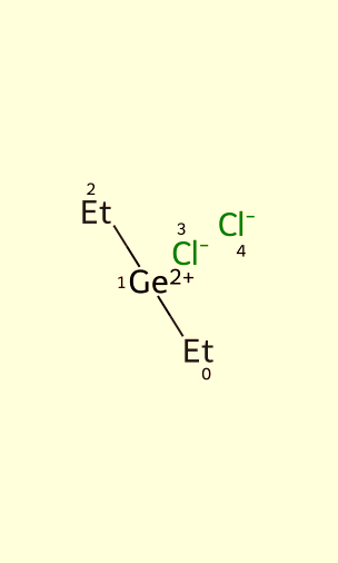 C[CH2][Ge+2][CH2]C.[Cl-].[Cl-]